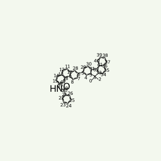 CC1(C)c2cc(-c3ccc4c(ccc5ccc6c(c54)OC(c4ccccc4)N6)c3)ccc2-c2c1ccc1ccccc21